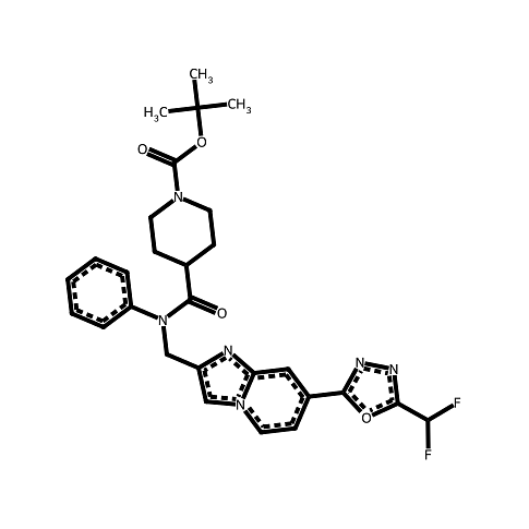 CC(C)(C)OC(=O)N1CCC(C(=O)N(Cc2cn3ccc(-c4nnc(C(F)F)o4)cc3n2)c2ccccc2)CC1